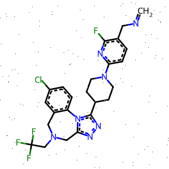 C=NCc1ccc(N2CCC(c3nnc4n3-c3ccc(Cl)cc3CN(CC(F)(F)F)C4)CC2)nc1F